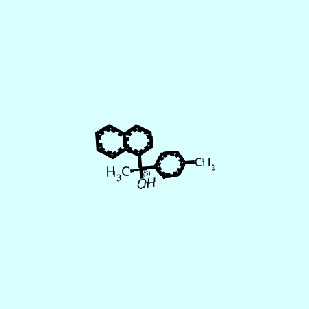 Cc1ccc([C@](C)(O)c2cccc3ccccc23)cc1